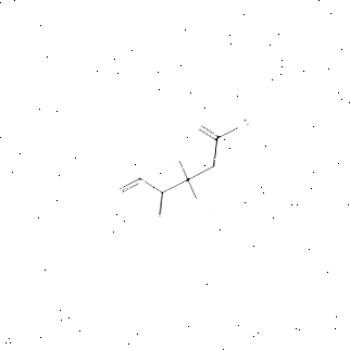 CC(C)(CC(=O)O)C(Cl)C=O